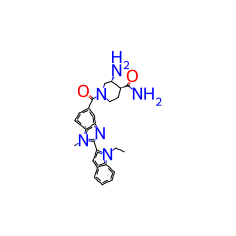 CCn1c(-c2nc3cc(C(=O)N4CC[C@H](C(N)=O)[C@H](N)C4)ccc3n2C)cc2ccccc21